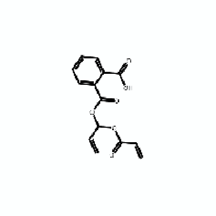 C=CC(=O)OC(C=C)OC(=O)c1ccccc1C(=O)O